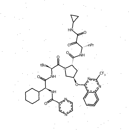 CCC[C@H](NC(=O)[C@@H]1C[C@@H](Oc2nc(C(F)(F)F)nc3c2=CC=C=C=3)CN1C(=O)[C@@H](NC(=O)[C@@H](NC(=O)c1cnccn1)C1CCCCC1)C(C)(C)C)C(=O)C(=O)NC1CC1